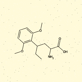 CCC(CC(N)C(=O)O)c1c(OC)cccc1OC